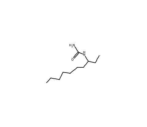 [CH2]CC(CCCCCCC)NC(N)=O